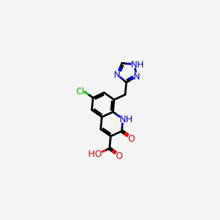 O=C(O)c1cc2cc(Cl)cc(Cc3nc[nH]n3)c2[nH]c1=O